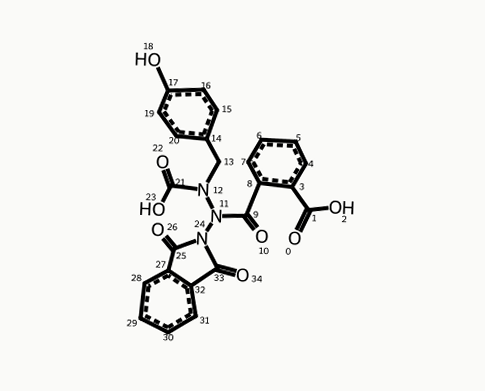 O=C(O)c1ccccc1C(=O)N(N(Cc1ccc(O)cc1)C(=O)O)N1C(=O)c2ccccc2C1=O